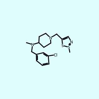 CN(Cc1cccc(Cl)c1)C1CCN(CC2=CN=S(C)S2)CC1